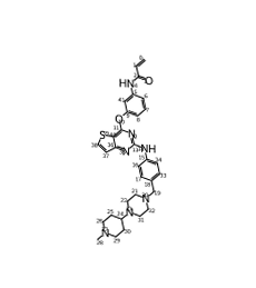 C=CC(=O)Nc1cccc(Oc2nc(Nc3ccc(CN4CCN(C5CCN(C)CC5)CC4)cc3)nc3ccsc23)c1